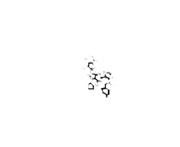 O=CN(Cc1ccc(Cl)cc1)c1nn[nH]c1-c1nc(N[C@@H]2CCOC2)c2ncn([C@@H]3O[C@H](CO)[C@@H](O)[C@H]3O)c2n1